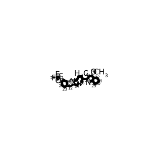 COc1c(C)c(-c2ccc3nc(Cc4ccc(OC(F)(F)F)cc4)cn3c2)nc2ccccc12